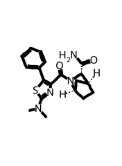 CN(C)c1nc(C(=O)N2[C@@H]3CC[C@@H](C3)[C@H]2C(N)=O)c(-c2ccccc2)s1